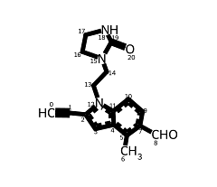 C#Cc1cc2c(C)c(C=O)ccc2n1CCN1CCNC1=O